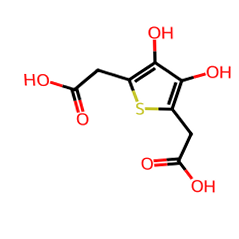 O=C(O)Cc1sc(CC(=O)O)c(O)c1O